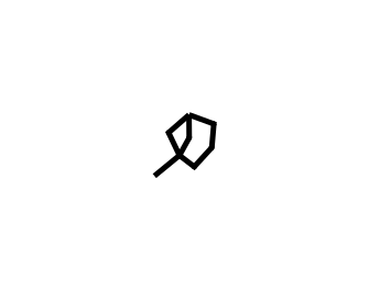 CC12CCCC(C1)C2